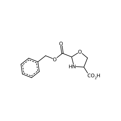 O=C(O)C1COC(C(=O)OCc2ccccc2)N1